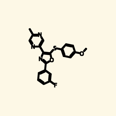 COc1ccc(Sc2oc(-c3cccc(F)c3)nc2-c2cnc(C)cn2)cc1